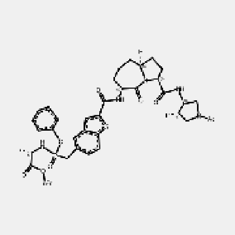 CCCOC(=O)[C@H](C)NP(=O)(Cc1ccc2sc(C(=O)N[C@H]3CCC[C@H]4CC[C@@H](C(=O)N[C@H]5CN(C(C)=O)C[C@@H]5F)N4C3=O)cc2c1)Oc1ccccc1